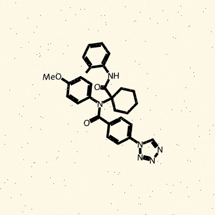 COc1ccc(N(C(=O)c2ccc(-n3cnnn3)cc2)C2(C(=O)Nc3ccccc3C)CCCCC2)cc1